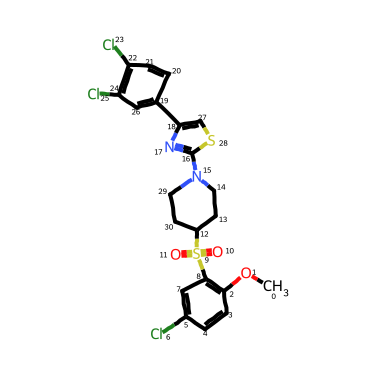 COc1ccc(Cl)cc1S(=O)(=O)C1CCN(c2nc(-c3ccc(Cl)c(Cl)c3)cs2)CC1